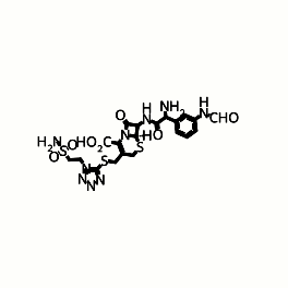 NC(C(=O)NC1C(=O)N2C(C(=O)O)=C(CSc3nnnn3CCS(N)(=O)=O)CS[C@H]12)c1cccc(NC=O)c1